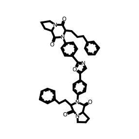 O=C1C(CCCc2ccccc2)N(c2ccc(-c3ncc(-c4ccc(N5C(=O)C6CCCN6C(=O)C5CCc5ccccc5)cc4)o3)cc2)C(=O)C2CCCN12